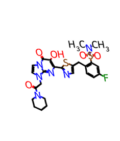 CN(C)S(=O)(=O)c1cc(F)ccc1Cc1cnc(-c2nc3n(CC(=O)N4CCCCC4)ccn3c(=O)c2O)s1